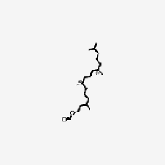 CC(C)CCC[C@@H](C)CCC[C@@H](C)CCCC(C)CCOC=O